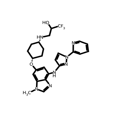 Cn1cnc2c(Nc3ccn(-c4ccccn4)n3)cc(O[C@H]3CC[C@@H](NCC(O)C(F)(F)F)CC3)cc21